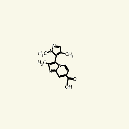 Cc1cnn(C)c1-c1c(C)nc2cc(C(=O)O)ccn12